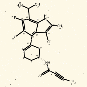 CC#CC(=O)N[C@@H]1CCC=C(c2c(F)c(F)c(C(N)O)c3[nH]c(C)c(Cl)c23)C1